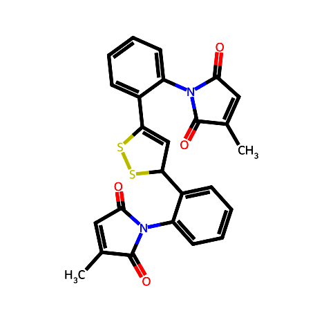 CC1=CC(=O)N(c2ccccc2C2=CC(c3ccccc3N3C(=O)C=C(C)C3=O)SS2)C1=O